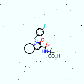 CC(C)(NC(=O)c1cc2c(n(Cc3ccc(F)cc3)c1=O)CCCCCC2)C(=O)O